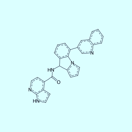 O=C(NC1c2cccc(-c3cnc4ccccc4c3)c2-n2cccc21)c1ccnc2[nH]ccc12